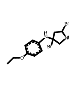 CCOc1ccc(NC2(Br)CNC(Br)C2)cc1